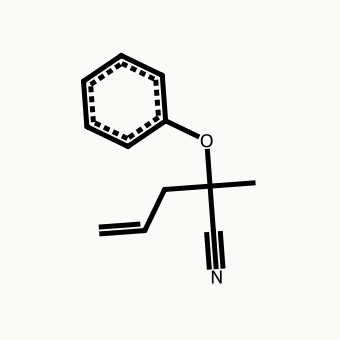 C=CCC(C)(C#N)Oc1ccccc1